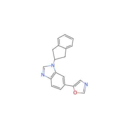 c1ccc2c(c1)CC(n1cnc3ccc(-c4cnco4)cc31)C2